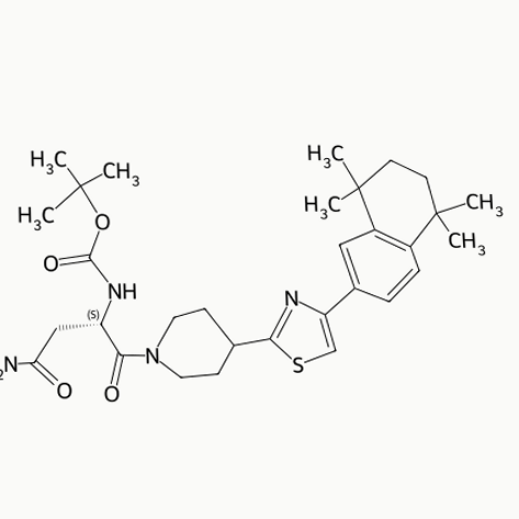 CC(C)(C)OC(=O)N[C@@H](CC(N)=O)C(=O)N1CCC(c2nc(-c3ccc4c(c3)C(C)(C)CCC4(C)C)cs2)CC1